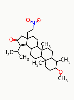 COC1CCC2(C)C(CCC3(C)C4CCC5(CC[N+](=O)[O-])CC(=O)C(C(C)C)=C5C4CCC32)C1C